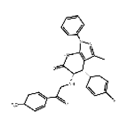 Cc1nn(-c2ccccc2)c2c1[C@H](C1C=CC(F)=CC1)[C@H](NCC(=O)C1=CCC(C(F)(F)F)C=C1)C(=O)N2